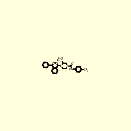 CC1CN(C(=O)Nc2ccc(C(F)(F)F)cc2)CCN1c1nnc(-c2ccccc2)c2ccccc12.Cl